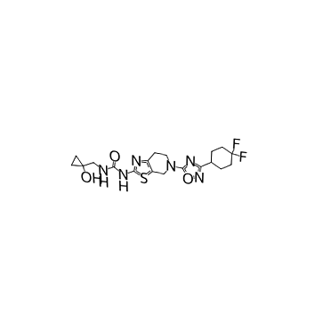 O=C(NCC1(O)CC1)Nc1nc2c(s1)CN(c1nc(C3CCC(F)(F)CC3)no1)CC2